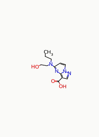 CCCN(CCO)c1ccn2ncc(C(=O)O)c2n1